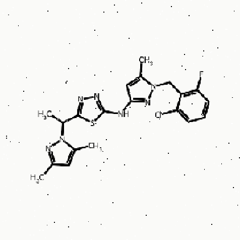 Cc1cc(C)n(C(C)c2nnc(Nc3cc(C)n(Cc4c(F)cccc4Cl)n3)s2)n1